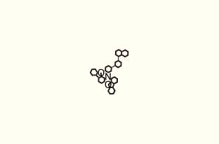 c1cc(-c2cccc(N(c3cccc4c3oc3ccccc34)c3cccc4c3oc3ccccc34)c2)cc(-c2cccc3ccccc23)c1